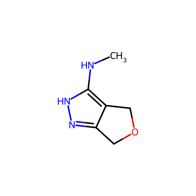 CNc1[nH]nc2c1COC2